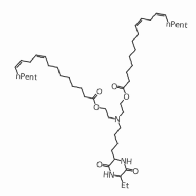 CCCCC/C=C\C/C=C\CCCCCCCC(=O)OCCN(CCCCC1NC(=O)C(CC)NC1=O)CCOC(=O)CCCCCCC/C=C\C/C=C\CCCCC